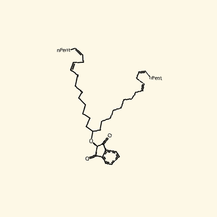 CCCCC/C=C\C/C=C\CCCCCCCCC(CCCCCCCC/C=C\C/C=C\CCCCC)OC1C(=O)c2ccccc2C1=O